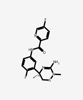 CN1SC[C@@](C)(c2cc(NC(=O)c3ccc(F)cn3)ccc2F)N=C1N